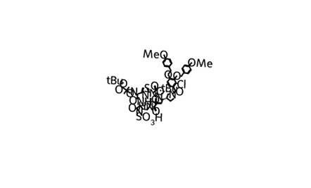 COc1ccc(COc2ccc(C(=O)N3CC[C@@H](c4cc(C(=O)NC[C@@H]5[C@H](NC(=O)/C(=N\OC(C)(C)C(=O)OC(C)(C)C)c6csc(NC(=O)OC(C)(C)C)n6)C(=O)N5S(=O)(=O)O)on4)C3)c(Cl)c2OCc2ccc(OC)cc2)cc1